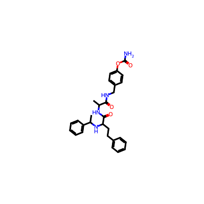 CC(NC(=O)C(CCc1ccccc1)NC(C)c1ccccc1)C(=O)NCc1ccc(OC(N)=O)cc1